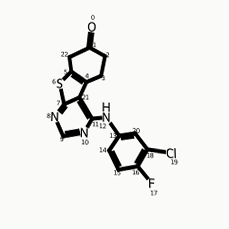 O=C1CCc2c(sc3ncnc(Nc4ccc(F)c(Cl)c4)c23)C1